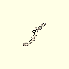 O=C(Nc1ccc(N2CCOCC2)cc1)c1cccc(-c2csc(NC(=O)c3ccc(CN4CCS(=O)(=O)CC4)cc3)n2)c1